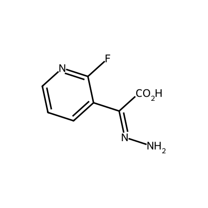 N/N=C(\C(=O)O)c1cccnc1F